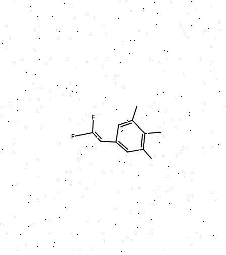 Cc1cc(C=C(F)F)cc(C)c1C